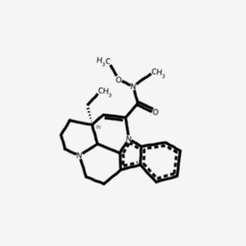 CC[C@@]12C=C(C(=O)N(C)OC)n3c4c(c5ccccc53)CCN(CCC1)C42